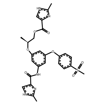 Cc1nc(C(=O)Nc2cc(Oc3ccc(S(C)(=O)=O)cc3)cc(O[C@@H](C)COC(=O)c3c[nH]c(C)n3)c2)c[nH]1